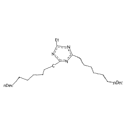 [CH2]Cc1nc(CCCCCCCCCCCCCCCC)nc(CCCCCCCCCCCCCCCC)n1